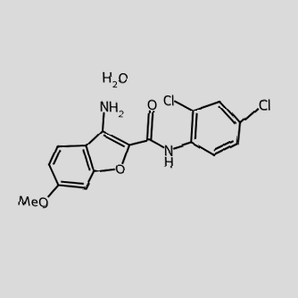 COc1ccc2c(N)c(C(=O)Nc3ccc(Cl)cc3Cl)oc2c1.O